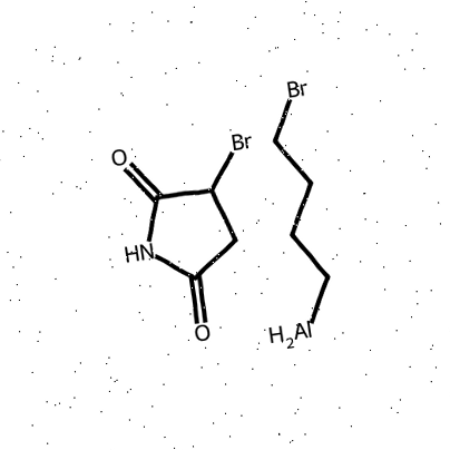 O=C1CC(Br)C(=O)N1.[AlH2][CH2]CCCBr